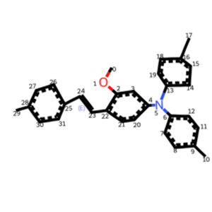 COc1cc(N(c2ccc(C)cc2)c2ccc(C)cc2)ccc1/C=C/c1ccc(C)cc1